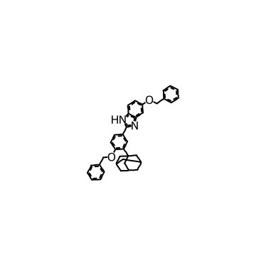 c1ccc(COc2ccc3[nH]c(-c4ccc(OCc5ccccc5)c(C56CC7CC(CC(C7)C5)C6)c4)nc3c2)cc1